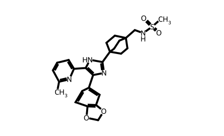 Cc1cccc(-c2[nH]c(C34CCC(CNS(C)(=O)=O)(CC3)CC4)nc2-c2ccc3c(c2)OCO3)n1